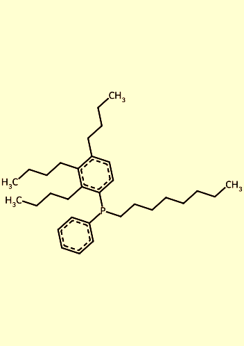 CCCCCCCCP(c1ccccc1)c1ccc(CCCC)c(CCCC)c1CCCC